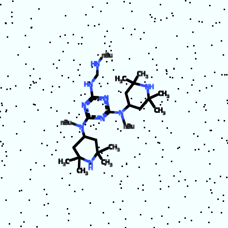 CCCCNCNc1nc(N(CCCC)C2CC(C)(C)NC(C)(C)C2)nc(N(CCCC)C2CC(C)(C)NC(C)(C)C2)n1